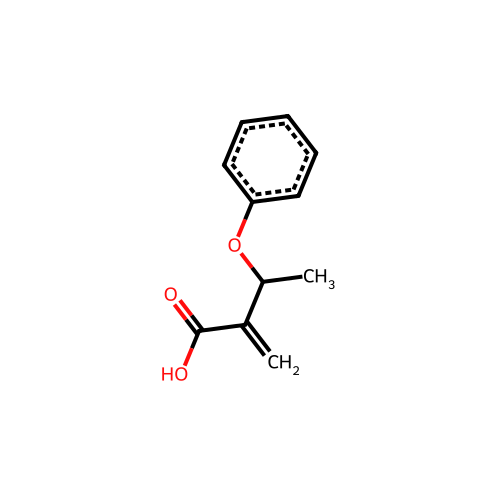 C=C(C(=O)O)C(C)Oc1ccccc1